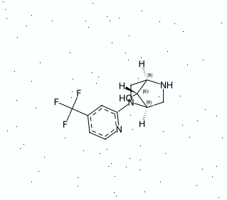 O[C@H]1[C@H]2CN[C@@H]1CN2c1cc(C(F)(F)F)ccn1